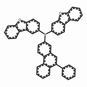 c1ccc(-c2cc3cc(N(c4ccc5c(c4)oc4ccccc45)c4ccc5oc6ccccc6c5c4)ccc3c3ccccc23)cc1